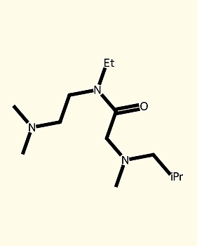 CCN(CCN(C)C)C(=O)CN(C)CC(C)C